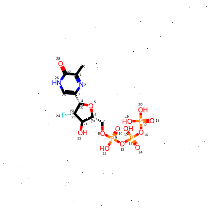 Cc1nc([C@@H]2O[C@H](COP(=O)(O)OP(=O)(O)OP(=O)(O)O)C(O)[C@@H]2F)c[nH]c1=O